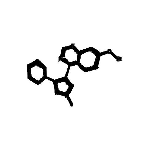 CCOc1[c]cc2c(-c3cn(C)nc3-c3ccccc3)ncnc2c1